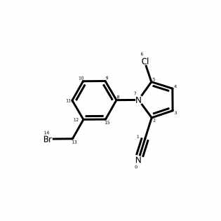 N#Cc1ccc(Cl)n1-c1cccc(CBr)c1